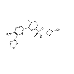 Cc1ccc(S(=O)(=O)N[C@H]2C[C@@H](O)C2)cc1-c1cnc(N)c(-n2cncn2)n1